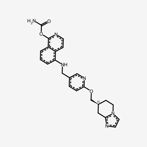 NC(=O)Oc1nccc2c(NCc3ccc(OC[C@H]4CCn5ccnc5C4)nc3)cccc12